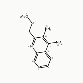 COCCc1nc2ccccc2c([N+](=O)[O-])c1N